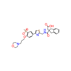 CS(=O)(=O)c1cc(-c2csc(CNC(=O)C3(CC(=O)O)Cc4ccccc4C3)n2)ccc1OCCCN1CCOCC1